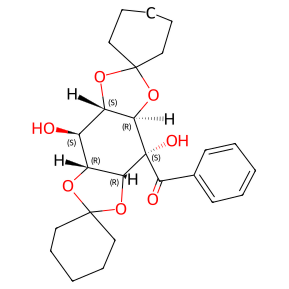 O=C(c1ccccc1)[C@@]1(O)[C@@H]2OC3(CCCCC3)O[C@@H]2[C@@H](O)[C@@H]2OC3(CCCCC3)O[C@H]21